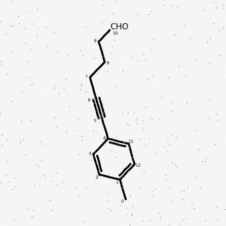 Cc1ccc(C#CCCCC=O)cc1